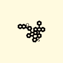 c1ccc(-c2c3ccccc3c(-c3ccc4sc5cccc(-c6c7ccccc7c(-c7ccc8oc9cc%10ccccc%10cc9c8c7)c7ccccc67)c5c4c3)c3ccccc23)cc1